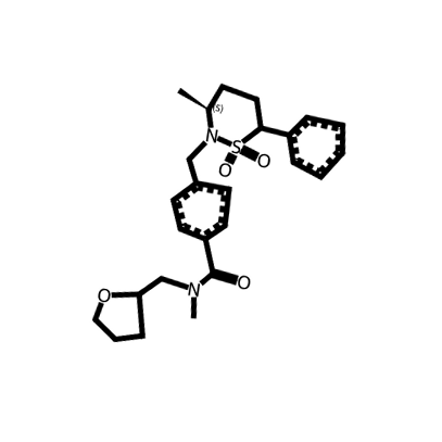 C[C@H]1CCC(c2ccccc2)S(=O)(=O)N1Cc1ccc(C(=O)N(C)CC2CCCO2)cc1